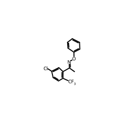 C/C(=N\Oc1ccccc1)c1cc(Cl)ccc1C(F)(F)F